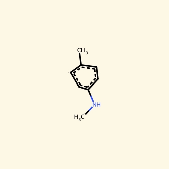 CNc1c[c]c(C)cc1